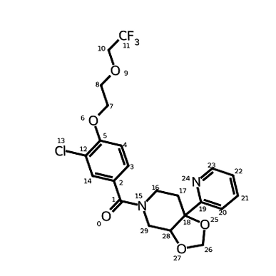 O=C(c1ccc(OCCOCC(F)(F)F)c(Cl)c1)N1CCC2(c3ccccn3)OCOC2C1